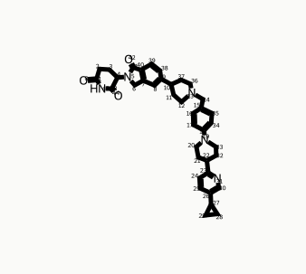 O=C1CCC(N2Cc3cc(C4CCN(Cc5ccc(N6CCC(c7ccc(C8CC8)cn7)CC6)cc5)CC4)ccc3C2=O)C(=O)N1